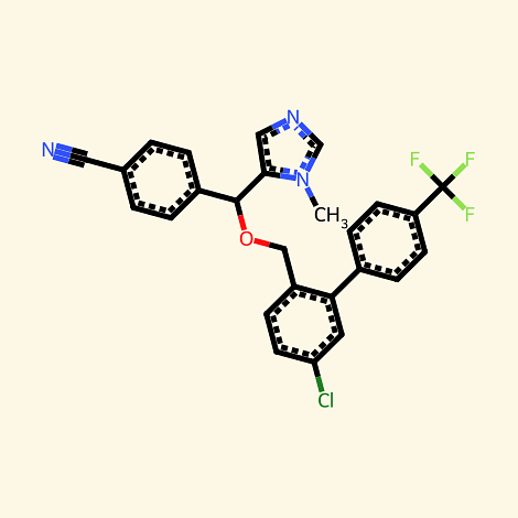 Cn1cncc1C(OCc1ccc(Cl)cc1-c1ccc(C(F)(F)F)cc1)c1ccc(C#N)cc1